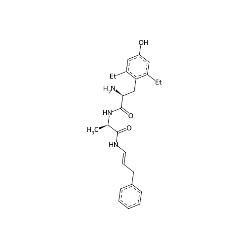 CCc1cc(O)cc(CC)c1C[C@H](N)C(=O)N[C@H](C)C(=O)NC=CCc1ccccc1